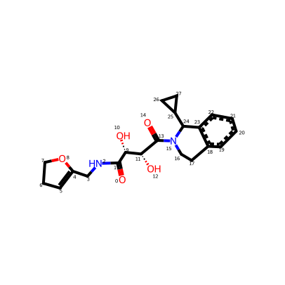 O=C(NCC1=CCCO1)[C@H](O)[C@@H](O)C(=O)N1CCc2ccccc2C1C1CC1